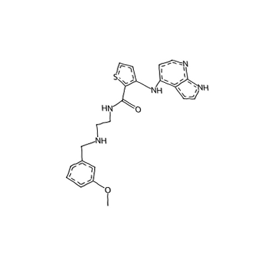 COc1cccc(CNCCNC(=O)c2sccc2Nc2ccnc3[nH]ccc23)c1